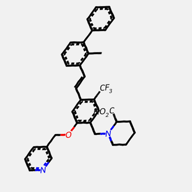 Cc1c(/C=C/c2cc(OCc3cccnc3)c(CN3CCCCC3C(=O)O)cc2C(F)(F)F)cccc1-c1ccccc1